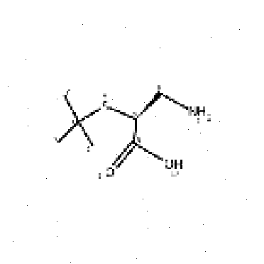 CC(C)(C)S[C@@H](CN)C(=O)O